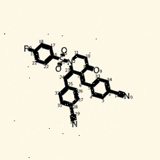 N#Cc1ccc(C=C2C(=O)CCN(S(=O)(=O)c3ccc(F)cc3)C2=Cc2ccc(C#N)cc2)cc1